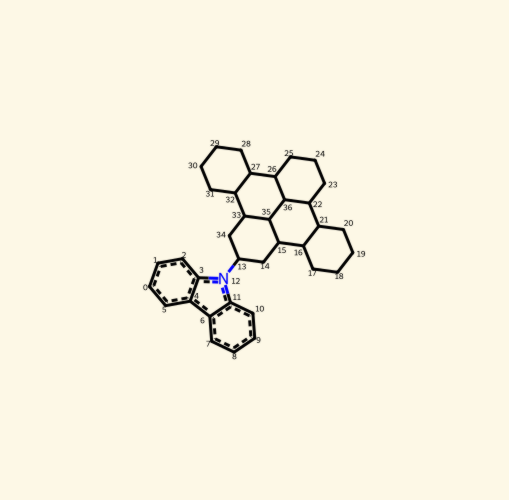 c1ccc2c(c1)c1ccccc1n2C1CC2C3CCCCC3C3CCCC4C5CCCCC5C(C1)C2C34